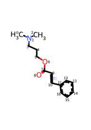 CN(C)CCCOC(=O)/C=C/c1ccccc1